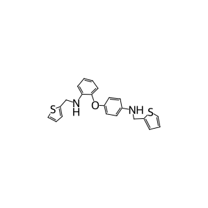 c1csc(CNc2ccc(Oc3ccccc3NCc3cccs3)cc2)c1